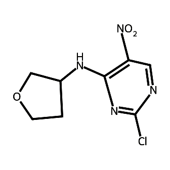 O=[N+]([O-])c1cnc(Cl)nc1NC1CCOC1